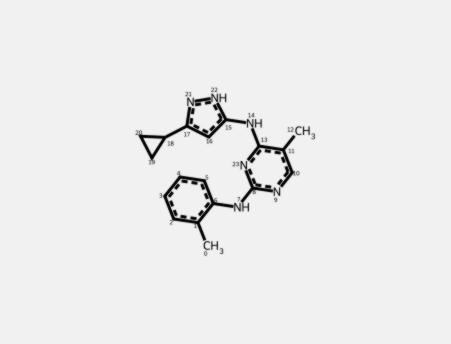 Cc1ccccc1Nc1ncc(C)c(Nc2cc(C3CC3)n[nH]2)n1